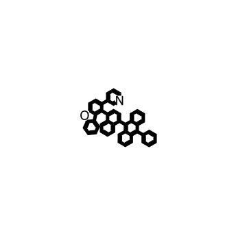 c1ccc(-c2c3ccccc3c(-c3ccc(-c4c(-c5cccnc5)ccc5oc6ccccc6c45)c4ccccc34)c3ccccc23)cc1